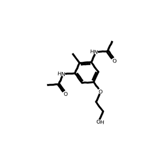 CC(=O)Nc1cc(OCCO)cc(NC(C)=O)c1C